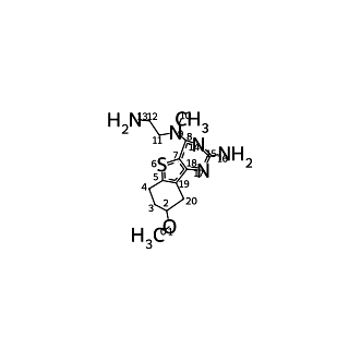 COC1CCc2sc3c(N(C)CCN)nc(N)nc3c2C1